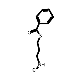 O=C(SCCCNCl)c1ccccc1